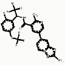 [2H]C([2H])([2H])[C@@H](NC(=O)c1cc(-c2ccn3nc(N)nc3c2)cnc1C)c1cc(OC(F)(F)F)ccc1F